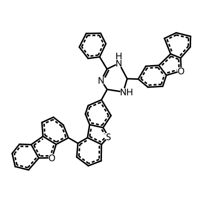 c1ccc(C2=NC(c3ccc4c(c3)sc3cccc(-c5cccc6c5oc5ccccc56)c34)NC(c3ccc4oc5ccccc5c4c3)N2)cc1